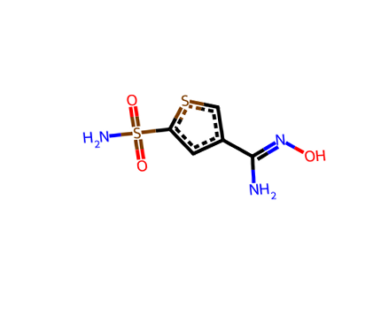 NC(=NO)c1csc(S(N)(=O)=O)c1